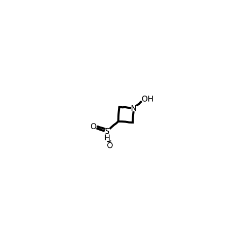 O=[SH](=O)C1CN(O)C1